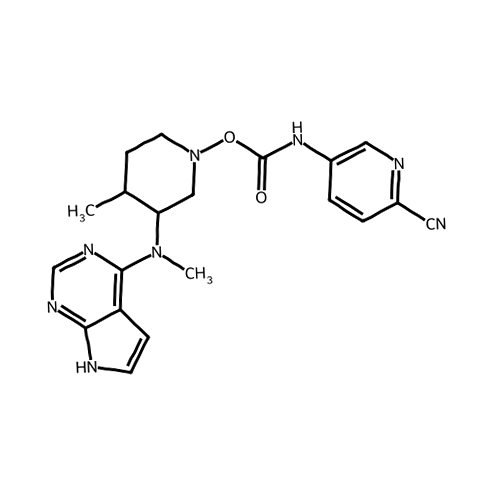 CC1CCN(OC(=O)Nc2ccc(C#N)nc2)CC1N(C)c1ncnc2[nH]ccc12